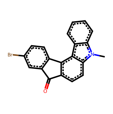 Cn1c2ccccc2c2c3c(ccc21)C(=O)c1cc(Br)ccc1-3